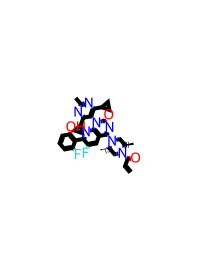 C=CC(=O)N1C[C@H](C)N(c2nc(=O)n(-c3c(C4CC4)nc(C)nc3C3CC3)c3nc(-c4c(O)cccc4F)c(F)cc23)C[C@H]1C